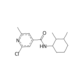 Cc1cc(C(=O)NC2CCCC(C)C2C)cc(Cl)n1